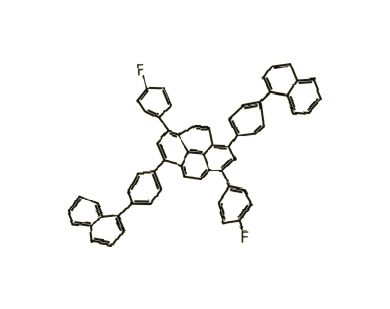 Fc1ccc(-c2cc(-c3ccc(-c4cccc5ccccc45)cc3)c3ccc4c(-c5ccc(F)cc5)cc(-c5ccc(-c6cccc7ccccc67)cc5)c5ccc2c3c45)cc1